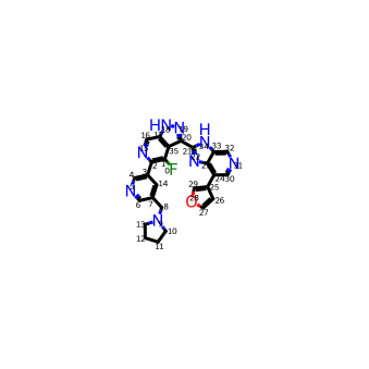 Fc1c(-c2cncc(CN3CCCC3)c2)ncc2[nH]nc(-c3nc4c(-c5ccoc5)cncc4[nH]3)c12